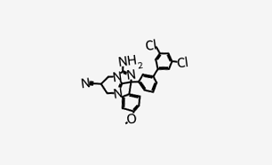 COc1ccc(C2(c3cccc(-c4cc(Cl)cc(Cl)c4)c3)N=C(N)N3CC(C#N)CN=C32)cc1